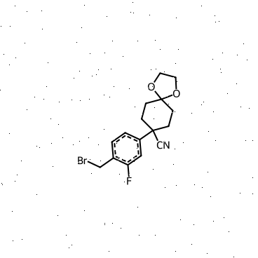 N#CC1(c2ccc(CBr)c(F)c2)CCC2(CC1)OCCO2